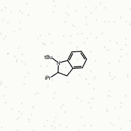 CC(C)C1Cc2ccccc2N1C(C)(C)C